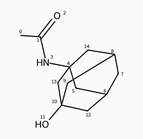 CC(=O)NC12CC3CC(CC(O)(C3)C1)C2